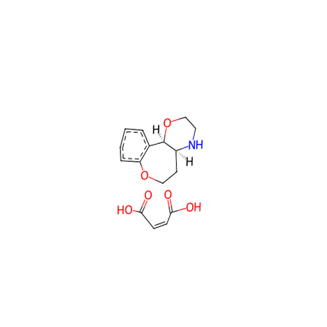 O=C(O)/C=C\C(=O)O.c1ccc2c(c1)OCC[C@@H]1NCCO[C@H]21